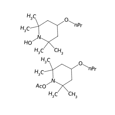 CCCOC1CC(C)(C)N(O)C(C)(C)C1.CCCOC1CC(C)(C)N(OC(C)=O)C(C)(C)C1